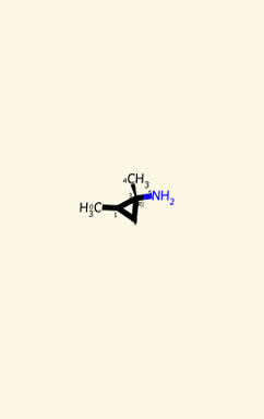 CC1C[C@@]1(C)N